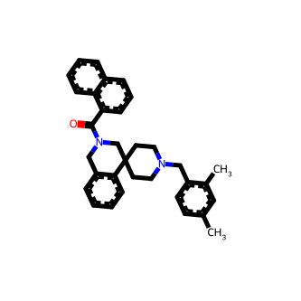 Cc1ccc(CN2CCC3(CC2)CN(C(=O)c2cccc4ccccc24)Cc2ccccc23)c(C)c1